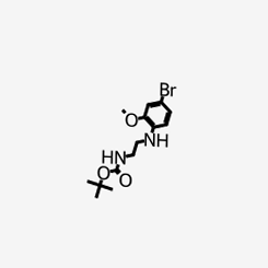 COc1cc(Br)ccc1NCCNC(=O)OC(C)(C)C